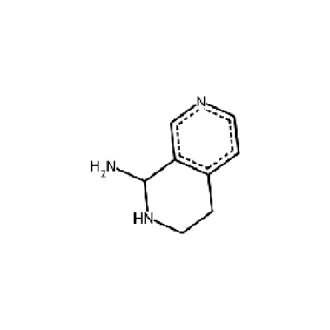 NC1NCCc2ccncc21